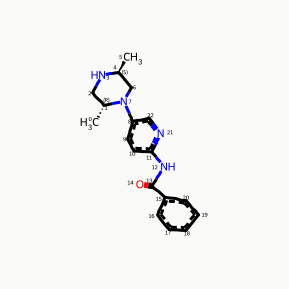 C[C@@H]1CN[C@@H](C)CN1c1ccc(NC(=O)c2ccccc2)nc1